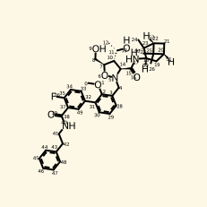 COc1c(CN2O[C@@H](CO)[C@H]([C@H](C)O)[C@H]2C(=O)N[C@H]2C[C@H]3C[C@@H]([C@@H]2C)C3(C)C)cccc1-c1ccc(F)c(C(=O)NCCc2ccccc2)c1